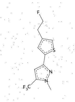 Cn1nc(-c2cc(CCF)[c]s2)cc1C(F)(F)F